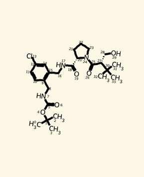 CC(C)(C)OC(=O)NCc1ccc(Cl)cc1CNC(=O)[C@@H]1CCCN1C(=O)[C@H](CO)C(C)(C)C